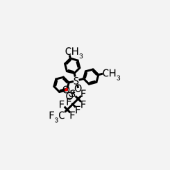 Cc1ccc(S(OS(=O)(=O)C(F)(F)C(F)(F)C(F)(F)C(F)(F)F)(c2ccccc2)c2ccc(C)cc2)cc1